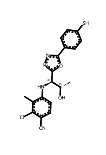 Cc1c(N[C@@H](c2nnc(-c3ccc(S)cc3)o2)[C@H](C)O)ccc(C#N)c1Cl